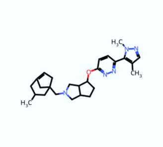 Cc1cnn(C)c1-c1ccc(OC2CCC3CN(CC45CC=C(CC(C)C4)C5)CC32)nn1